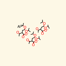 CC(=O)C(CC(OC(C)C)OC(C)C)C(=O)[O-].CC(=O)C(CC(OC(C)C)OC(C)C)C(=O)[O-].CC(=O)C(CC(OC(C)C)OC(C)C)C(=O)[O-].[Al+3]